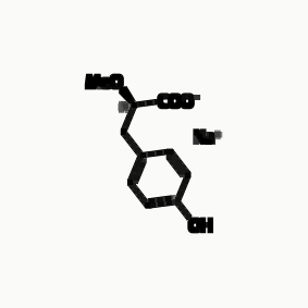 CO[C@H](Cc1ccc(O)cc1)C(=O)[O-].[Na+]